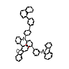 c1cc(-c2ccc(N(c3ccc(-c4cccc(-n5c6ccccc6c6ccccc65)c4)cc3)c3ccccc3-c3cccc4c3oc3ccccc34)cc2)cc(-c2cccc3ccccc23)c1